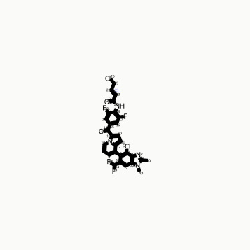 Cc1nc2c(Cl)c(-c3cccn4c(C(=O)c5cc(F)c(NC(=O)/C=C/CCl)c(F)c5)ccc34)c(C(F)F)cc2n1C